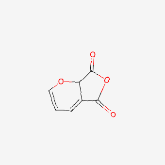 O=C1OC(=O)C2OC=CC=C12